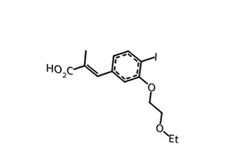 CCOCCOc1cc(C=C(C)C(=O)O)ccc1I